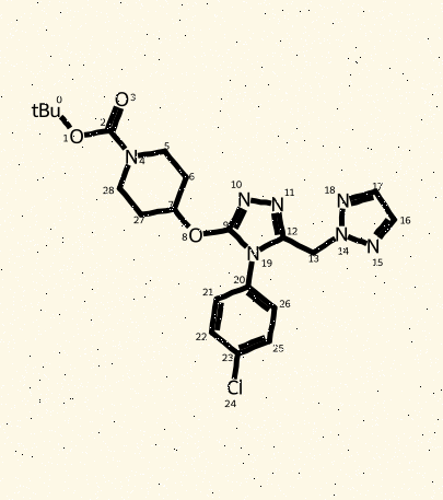 CC(C)(C)OC(=O)N1CCC(Oc2nnc(Cn3nccn3)n2-c2ccc(Cl)cc2)CC1